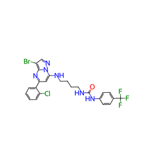 O=C(NCCCCNc1cc(-c2ccccc2Cl)nc2c(Br)cnn12)Nc1ccc(C(F)(F)F)cc1